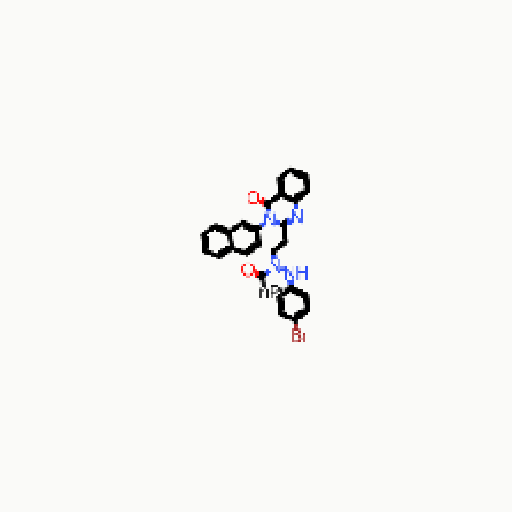 CCCC(=O)N(CCc1nc2ccccc2c(=O)n1-c1ccc2ccccc2c1)Nc1ccc(Br)cc1